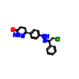 O=C1CCC(c2ccc(NN=C(CCl)c3ccccc3)cc2)=NN1